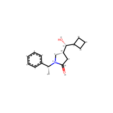 C[C@H](c1ccccc1)N1C[C@H]([C@H](O)C2CCC2)CC1=O